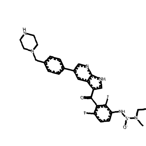 CCN(C)[S+]([O-])Nc1ccc(F)c(C(=O)c2c[nH]c3ncc(-c4ccc(CN5CCNCC5)cc4)cc23)c1F